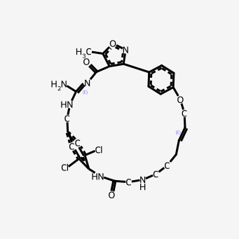 Cc1onc2c1C(=O)/N=C(\N)NCc1cc(Cl)c(c(Cl)c1)NC(=O)CNCCC/C=C/COc1ccc-2cc1